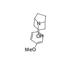 COc1ccc(N2C3CCC2CC(O)C3)cc1